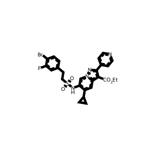 CCOC(=O)c1c(-c2ccncc2)nn2cc(NS(=O)(=O)CCc3ccc(Br)c(F)c3)c(C3CC3)cc12